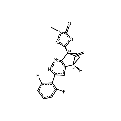 C=C1[C@@H]2CC[C@@]1(c1nn(C)c(=O)o1)c1nnc(-c3c(F)cccc3F)cc12